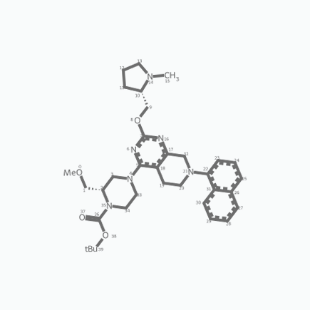 COC[C@@H]1CN(c2nc(OC[C@@H]3CCCN3C)nc3c2CCN(c2cccc4ccccc24)C3)CCN1C(=O)OC(C)(C)C